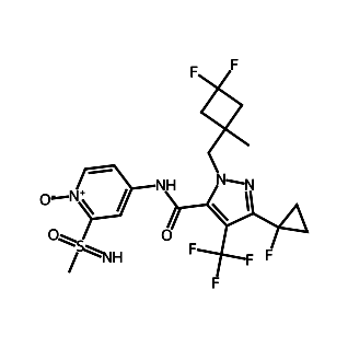 CC1(Cn2nc(C3(F)CC3)c(C(F)(F)F)c2C(=O)Nc2cc[n+]([O-])c(S(C)(=N)=O)c2)CC(F)(F)C1